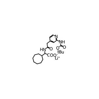 CC(C)(C)OC(=O)Nc1cc(CC(=O)NC(C(=O)[O-])C2CCCCCCC2)ccn1.[Li+]